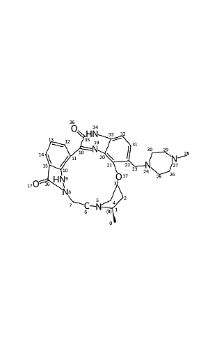 C[C@@H]1CC2CN1CCn1[nH]c3c(cccc3c1=O)-c1nc3c(c(CN4CCN(C)CC4)ccc3[nH]c1=O)O2